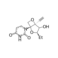 C#C[C@@]12OC[C@@]1(n1ccc(=O)[nH]c1=O)O[C@H](CC)C2O